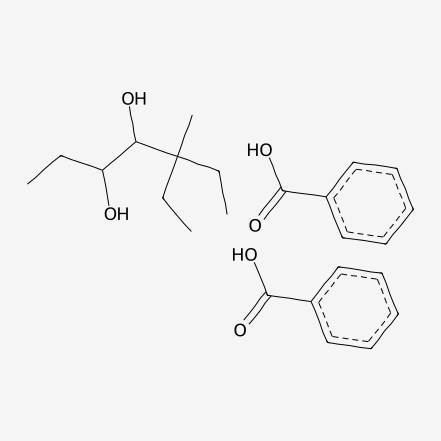 CCC(O)C(O)C(C)(CC)CC.O=C(O)c1ccccc1.O=C(O)c1ccccc1